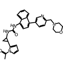 CC(=O)n1cccc1C1CC1NC(=O)Nc1ccc(-c2ccc(CN3CCOCC3)nc2)c2ccccc12